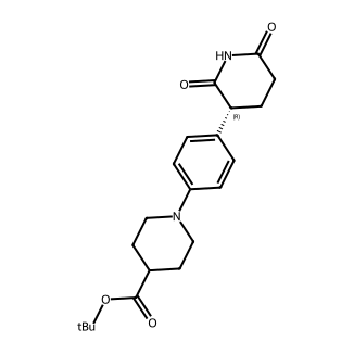 CC(C)(C)OC(=O)C1CCN(c2ccc([C@H]3CCC(=O)NC3=O)cc2)CC1